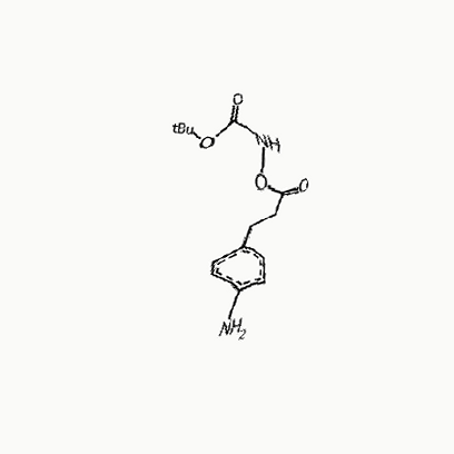 CC(C)(C)OC(=O)NOC(=O)CCc1ccc(N)cc1